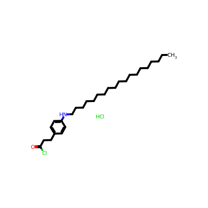 CCCCCCCCCCCCCCCCCCCNc1ccc(CCC(=O)Cl)cc1.Cl